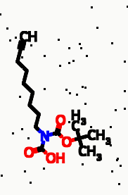 C#CCCCCCCCN(C(=O)O)C(=O)OC(C)(C)C